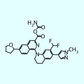 Cn1cc(-c2cc3c(cc2C(F)F)N(c2nc(C(=O)OC(N)=O)cc4cc(C5CCCO5)ccc24)CCC3)cn1